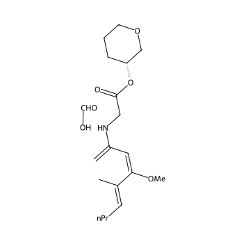 C=C(/C=C(OC)\C(C)=C\CCC)NCC(=O)O[C@@H]1CCCOC1.O=CO